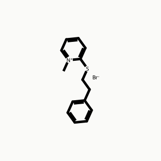 C[n+]1ccccc1SCCc1ccccc1.[Br-]